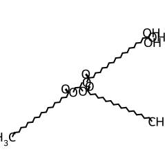 CCCCCCCCCCCCCCCCCC(=O)OCC(COC(=O)CCCCCCCCCCCCCCCCC(O)(O)O)OC(=O)CCCCCCCCCCCCCCCCC